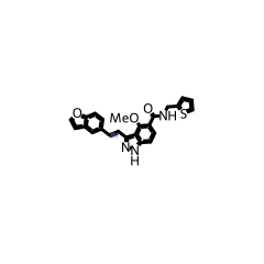 COc1c(C(=O)NCc2cccs2)ccc2[nH]nc(/C=C/c3ccc4occc4c3)c12